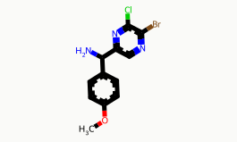 COc1ccc(C(N)c2cnc(Br)c(Cl)n2)cc1